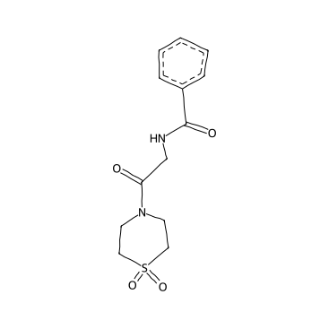 O=C(NCC(=O)N1CCS(=O)(=O)CC1)c1ccccc1